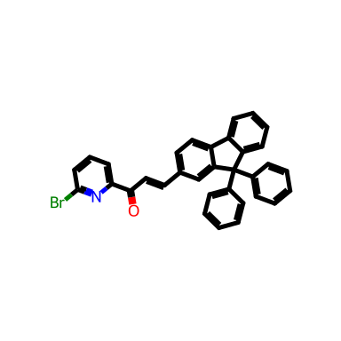 O=C(/C=C/c1ccc2c(c1)C(c1ccccc1)(c1ccccc1)c1ccccc1-2)c1cccc(Br)n1